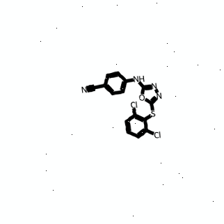 N#Cc1ccc(Nc2nnc(Sc3c(Cl)cccc3Cl)o2)cc1